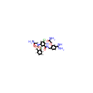 N=C(N)c1ccc(CNC(=O)c2cc(Cl)cc(N(CC(N)=O)S(=O)(=O)Cc3ccccc3F)c2)c(OCC(N)=O)c1